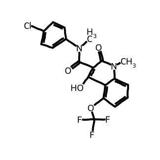 CN(C(=O)c1c(O)c2c(OC(F)(F)F)cccc2n(C)c1=O)c1ccc(Cl)cc1